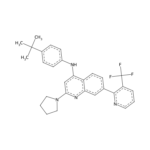 CC(C)(C)c1ccc(Nc2cc(N3CCCC3)nc3cc(-c4ncccc4C(F)(F)F)ccc23)cc1